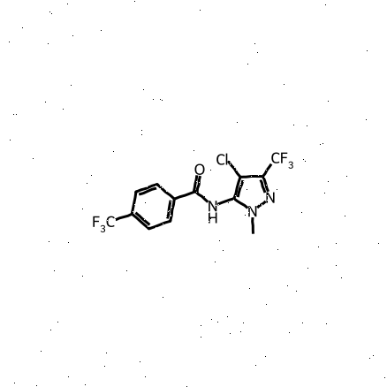 Cn1nc(C(F)(F)F)c(Cl)c1NC(=O)c1ccc(C(F)(F)F)cc1